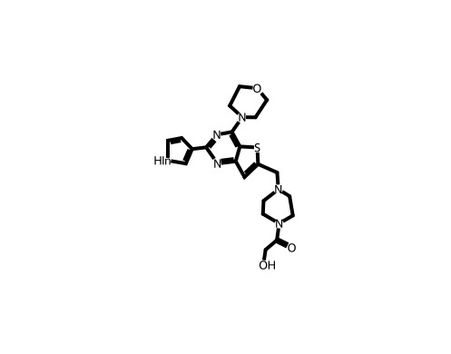 O=C(CO)N1CCN(Cc2cc3nc(C4=[CH][InH][CH]=C4)nc(N4CCOCC4)c3s2)CC1